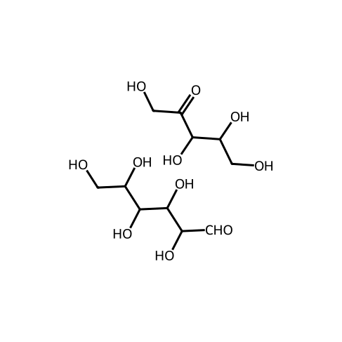 O=C(CO)C(O)C(O)CO.O=CC(O)C(O)C(O)C(O)CO